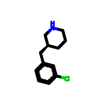 Clc1cccc(C[C@@H]2CCCNC2)c1